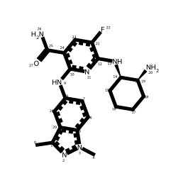 Cc1nn(C)c2ccc(Nc3nc(N[C@@H]4CCCC[C@@H]4N)c(F)cc3C(N)=O)cc12